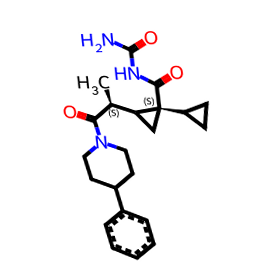 C[C@H](C(=O)N1CCC(c2ccccc2)CC1)C1C[C@]1(C(=O)NC(N)=O)C1CC1